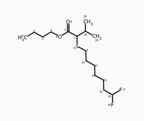 CCCCOC(=O)C(SCCCCCCC(F)F)C(C)C